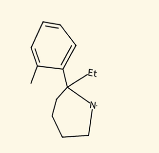 CCC1(c2ccccc2C)CCCC[N]1